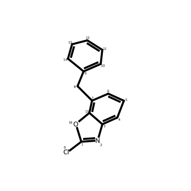 Clc1nc2cccc(Cc3ccccc3)c2o1